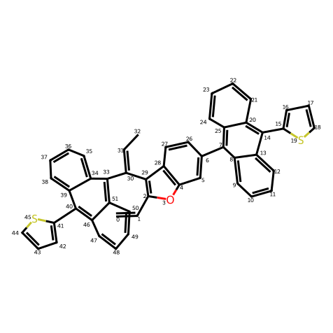 C=Cc1oc2cc(-c3c4ccccc4c(-c4cccs4)c4ccccc34)ccc2c1/C(=C\C)c1c2ccccc2c(-c2cccs2)c2ccccc12